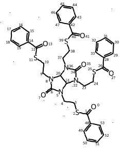 O=C(SCCN1C(=O)N(CCSC(=O)c2ccccc2)C2C1N(CCSC(=O)c1ccccc1)C(=O)N2CCSC(=O)c1ccccc1)c1ccccc1